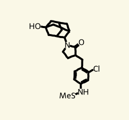 CSNc1ccc(CC2CCN(C3C4CC5CC3CC(O)(C5)C4)C2=O)c(Cl)c1